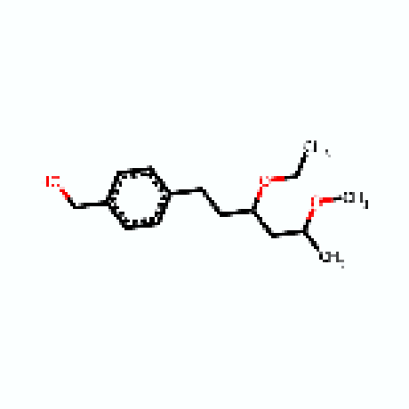 CCOC(CCc1ccc(CO)cc1)CC(C)OC